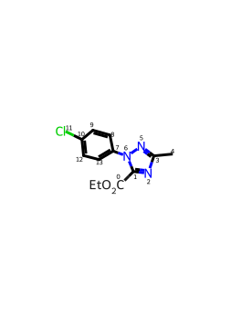 CCOC(=O)c1nc(C)nn1-c1ccc(Cl)cc1